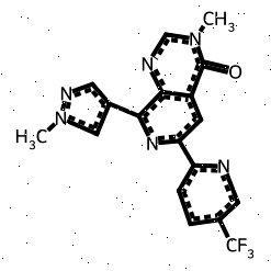 Cn1cc(-c2nc(-c3ccc(C(F)(F)F)cn3)cc3c(=O)n(C)cnc23)cn1